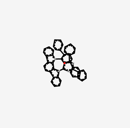 c1ccc(-c2ccc(-c3ccccc3)c(-n3c4ccccc4c4ccc5c6ccccc6n(-c6nc(-c7ccccc7)nc(-c7ccccc7)n6)c5c43)c2)cc1